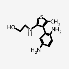 Cc1scc(NCCO)c1-c1cc(N)ccc1N